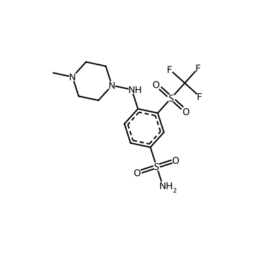 CN1CCN(Nc2ccc(S(N)(=O)=O)cc2S(=O)(=O)C(F)(F)F)CC1